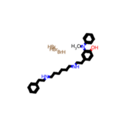 Br.Br.Br.CN(c1ccccc1)c1cc(CCNCCCCCCNCCc2ccccc2)ccc1O